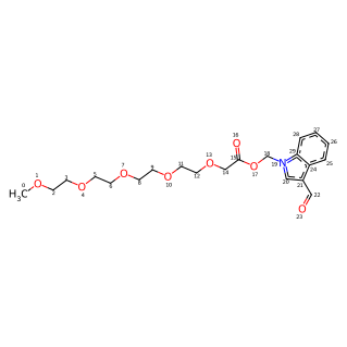 COCCOCCOCCOCCOCC(=O)OCn1cc(C=O)c2ccccc21